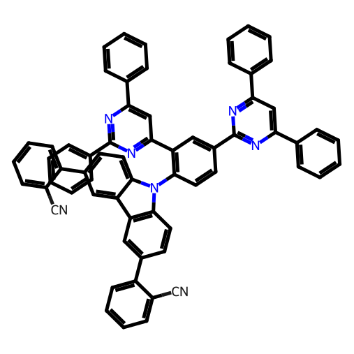 N#Cc1ccccc1-c1ccc2c(c1)c1cc(-c3ccccc3C#N)ccc1n2-c1ccc(-c2nc(-c3ccccc3)cc(-c3ccccc3)n2)cc1-c1cc(-c2ccccc2)nc(-c2ccccc2)n1